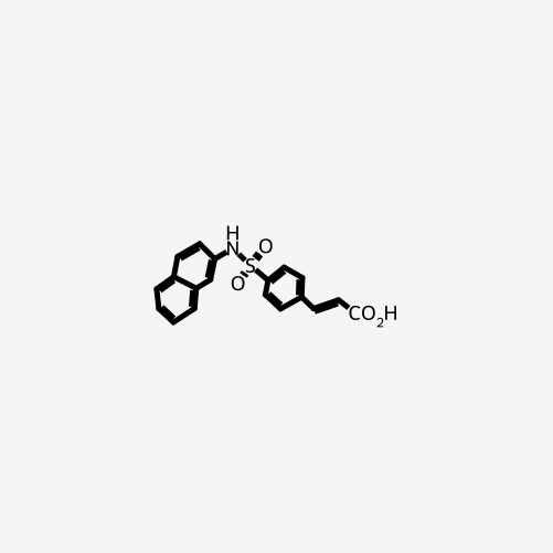 O=C(O)/C=C/c1ccc(S(=O)(=O)Nc2ccc3ccccc3c2)cc1